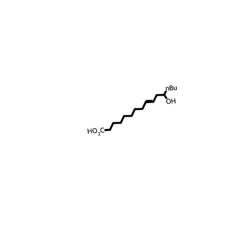 CCCCC(O)CC=CCCCCCCCC(=O)O